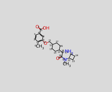 Cc1ccc(C(=O)O)cc1OCC1CCC([C@H](N)C(=O)N(C)C2CCC2)CC1